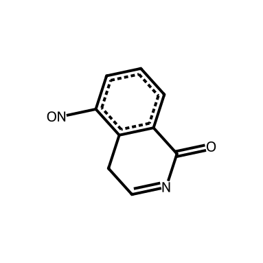 O=Nc1cccc2c1CC=NC2=O